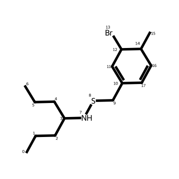 CCCC(CCC)NSCC1=CC(Br)C(C)C=C1